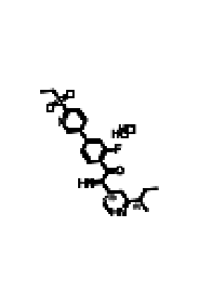 CC[C@@H](CC(=N)[C@H](C)CC)C(=N)C(=O)c1ccc(-c2ccc(S(=O)(=O)CC)nc2)cc1F.Cl.Cl